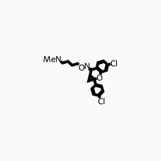 CNCCCCON=C1c2ccc(Cl)cc2OC2(c3ccc(Cl)cc3)CC12